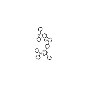 c1ccc(-c2nc(-c3ccc(-c4cccc5c4oc4c5ccc5c(-c6ccccc6)nc6ccccc6c54)cc3)nc(-n3c4ccccc4c4ccccc43)n2)cc1